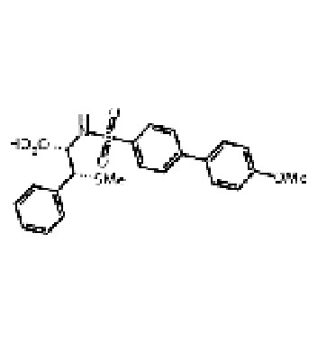 COc1ccc(-c2ccc(S(=O)(=O)N[C@@H](C(=O)O)[C@H](SC)c3ccccc3)cc2)cc1